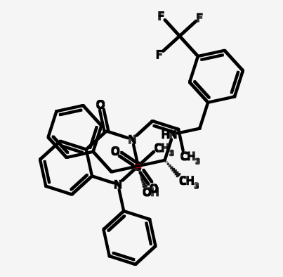 C/C=C\N(C(=O)c1ccccc1N(c1ccccc1)S(C)(=O)=O)[C@](O)(Cc1ccccc1)[C@@H](C)NCc1cccc(C(F)(F)F)c1